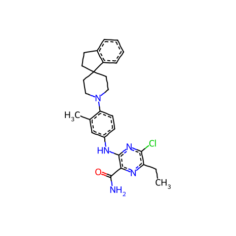 CCc1nc(C(N)=O)c(Nc2ccc(N3CCC4(CCc5ccccc54)CC3)c(C)c2)nc1Cl